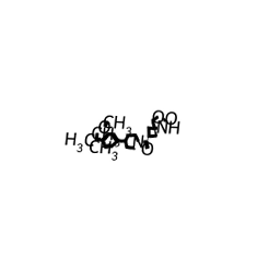 COc1cc(C2CCN(C(=O)[C@H]3C[C@]4(COC(=O)N4)C3)CC2)ccc1C(C)(C)C